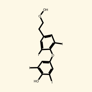 OOCCc1cc(I)c(Oc2cc(I)c(O)c(I)c2)c(I)c1